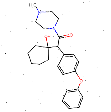 CN1CCN(C(=O)C(c2ccc(Oc3ccccc3)cc2)C2(O)CCCCC2)CC1